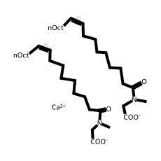 CCCCCCCC/C=C\CCCCCCCC(=O)N(C)CC(=O)[O-].CCCCCCCC/C=C\CCCCCCCC(=O)N(C)CC(=O)[O-].[Ca+2]